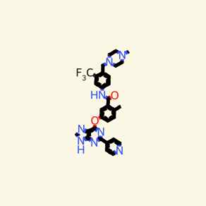 Cc1ccc(Oc2nc(-c3ccncc3)nc3[nH]cnc23)cc1C(=O)Nc1ccc(CN2CCN(C)CC2)c(C(F)(F)F)c1